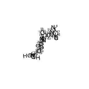 Cc1nc(C)c2c(n1)N(Cc1ccc(-c3ccccc3-c3nnn(C(C)OC(=O)Oc4ccc(CON(O)O)cc4)n3)cc1)C(=O)CC2